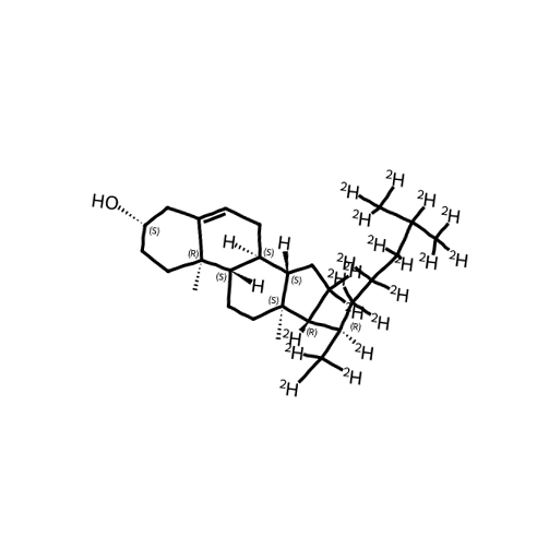 [2H]C([2H])([2H])C([2H])(C([2H])([2H])[2H])C([2H])([2H])C([2H])([2H])C([2H])([2H])[C@@]([2H])(C([2H])([2H])[2H])[C@@]1([2H])C([2H])([2H])C[C@H]2[C@@H]3CC=C4C[C@@H](O)CC[C@]4(C)[C@H]3CC[C@@]21C